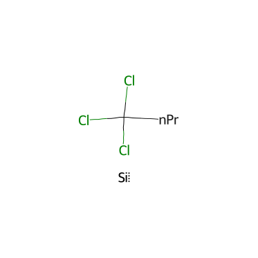 CCCC(Cl)(Cl)Cl.[Si]